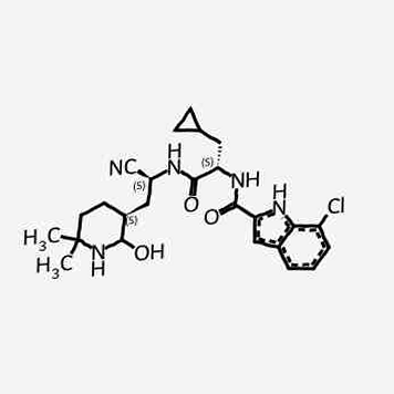 CC1(C)CC[C@@H](C[C@@H](C#N)NC(=O)[C@H](CC2CC2)NC(=O)c2cc3cccc(Cl)c3[nH]2)C(O)N1